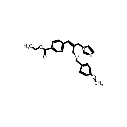 CCOC(=O)c1ccc(C=C(COCc2ccc(OC)cc2)Cn2ccnc2)cc1